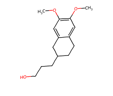 COc1cc2c(cc1OC)CC(CCCO)CC2